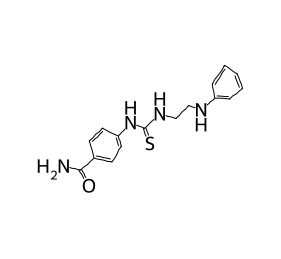 NC(=O)c1ccc(NC(=S)NCCNc2ccccc2)cc1